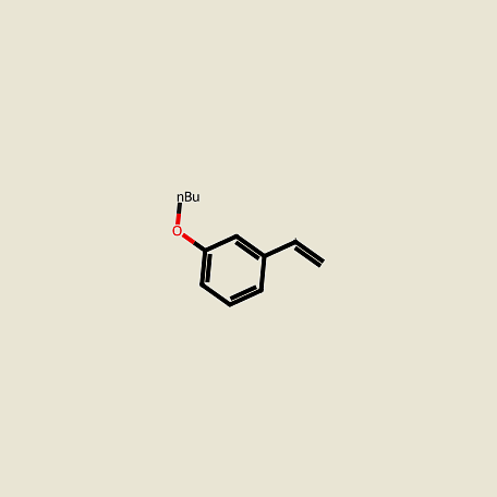 C=[C]c1cccc(OCCCC)c1